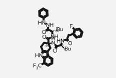 CCC(C)[C@H](NC(=O)Cc1ccccc1F)C(=O)N[C@]1(C(=O)NC(C(=O)NNc2ccccc2)[C@@H](C)CC)CCc2[nH]c3c(C(F)(F)F)cccc3c2C1